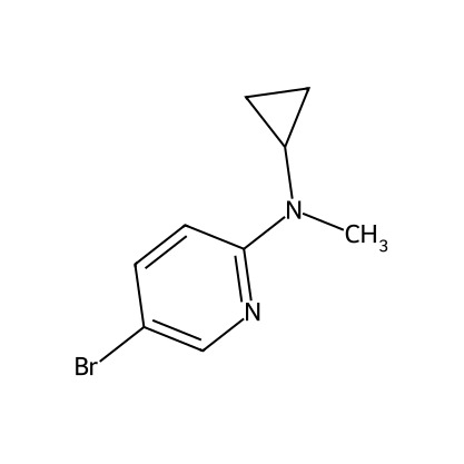 CN(c1ccc(Br)cn1)C1CC1